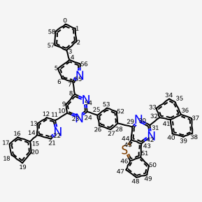 c1ccc(-c2ccc(-c3cc(-c4ccc(-c5ccccc5)cn4)nc(-c4ccc(-c5nc(-c6cccc7ccccc67)nc6c5sc5ccccc56)cc4)n3)nc2)cc1